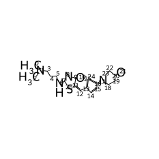 CN(C)CCCNC1=NC(=O)/C(=C\c2ccc(N3CCC(=O)CC3)cc2)S1